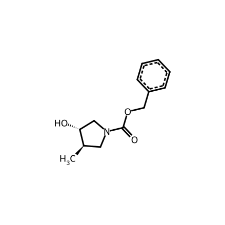 C[C@@H]1CN(C(=O)OCc2ccccc2)C[C@H]1O